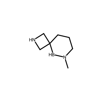 CN1BC2(CCC1)CNC2